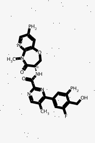 Cc1cnc(C(=O)N[C@H]2COc3cc(P)cnc3N(C)C2=O)nc1-c1cc(F)c(CO)c(P)c1